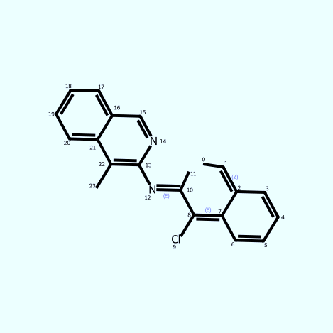 C/C=c1/cccc/c1=C(Cl)/C(C)=N/c1ncc2ccccc2c1C